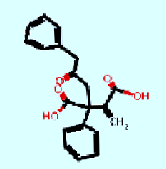 C=C(C(=O)O)C(CC(=O)Cc1ccccc1)(C(=O)O)c1ccccc1